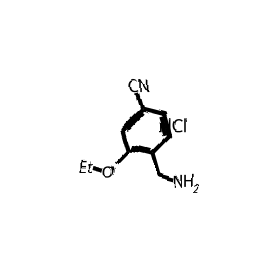 CCOc1cc(C#N)ccc1CN.Cl